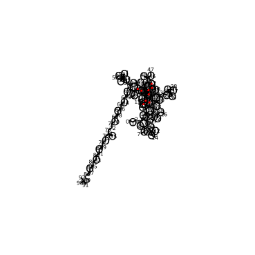 COC[C@H]1O[C@H](OC)[C@H](OS(=O)(=O)OC)[C@@H](OC)[C@@H]1O[C@@H]1O[C@@H](C(=O)OC)[C@@H](O[C@H]2O[C@H](COS(=O)(=O)OC)[C@@H](O[C@@H]3O[C@H](C(=O)OC)[C@@H](O[C@H]4O[C@H](COS(=O)(=O)OC)[C@@H](OCCOCCOCCOCCCC(=O)COCCOCCOCCOCCSC(C)(C)C)[C@H](OC)[C@H]4OC)[C@H](OC)[C@H]3OC)[C@H](OS(=O)(=O)OC)[C@H]2OS(=O)(=O)OC)[C@H](OC)[C@H]1OC